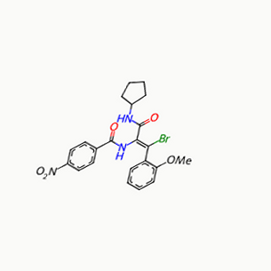 COc1ccccc1C(Br)=C(NC(=O)c1ccc([N+](=O)[O-])cc1)C(=O)NC1CCCC1